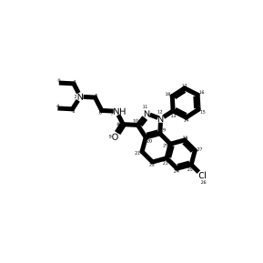 CCN(CC)CCNC(=O)c1nn(-c2ccccc2)c2c1CCc1cc(Cl)ccc1-2